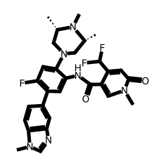 C[C@@H]1CN(c2cc(F)c(-c3ccc4c(c3)ncn4C)cc2NC(=O)c2cn(C)c(=O)cc2C(F)F)C[C@H](C)N1C